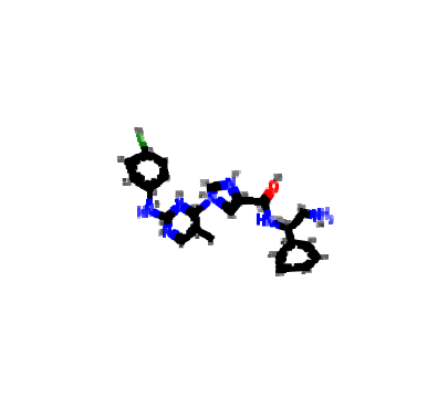 Cc1cnc(Nc2ccc(F)cc2)nc1-n1cnc(C(=O)NC(CN)c2ccccc2)c1